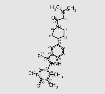 CCn1cc(-c2[nH]c3ccc(C4CCN(C(=O)CN(C)C)CC4)cc3c2C(C)C)c(C)c(C)c1=O